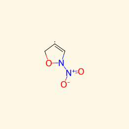 O=[N+]([O-])N1C=[C]CO1